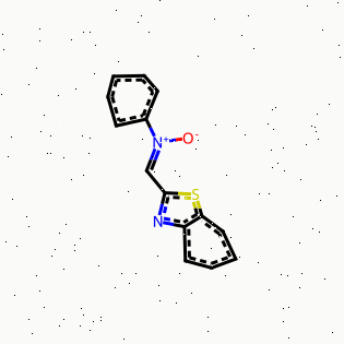 [O-][N+](=Cc1nc2ccccc2s1)c1ccccc1